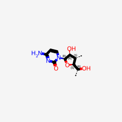 C[C@H]1[C@@H](O)[C@H](n2ccc(N)nc2=O)O[C@@H]1[C@@H](C)O